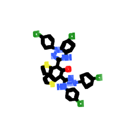 O=C(C(C(=NNc1ccc(Cl)cc1)Nc1ccc(Cl)cc1)c1cccs1)C(C(=NNc1ccc(Cl)cc1)Nc1ccc(Cl)cc1)c1cccs1